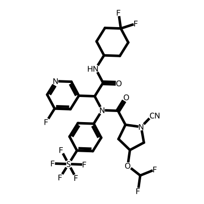 N#CN1CC(OC(F)F)CC1C(=O)N(c1ccc(S(F)(F)(F)(F)F)cc1)C(C(=O)NC1CCC(F)(F)CC1)c1cncc(F)c1